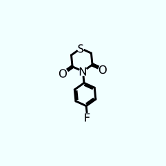 O=C1CSCC(=O)N1c1ccc(F)cc1